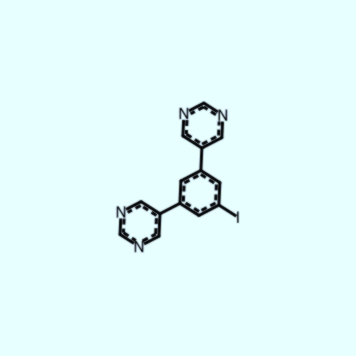 Ic1cc(-c2cncnc2)cc(-c2cncnc2)c1